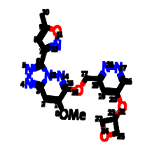 COc1cc2nnc(-c3cc(C)on3)n2nc1OCc1cc(OC2COC2)cnn1